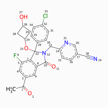 CC(=O)c1cc(F)c2c(c1)C(=O)N(Cc1ccc(C#N)cn1)C2(OC1CC(O)C1)c1ccc(Cl)cc1